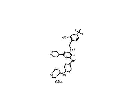 CCCc1cc(C(C)(F)F)ccc1CNc1nc(C2CCOCC2)nc(C(=O)N2CCC(NC3CCOCC3OC)CC2)c1C